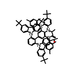 C=CB(c1cc(-c2c(-n3c4ccc(C(C)(C)C)cc4c4cc(C(C)(C)C)ccc43)cccc2-n2c3ccc(C(C)(C)C)cc3c3cc(C(C)(C)C)ccc32)cc2c1N(C(C)C)c1ccc(C(C)(C)C)cc1B2c1c(C)cc(C)cc1C)c1c(C)cc(C)cc1C